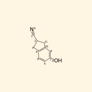 N#CC1Cc2ccc(O)cc2C1